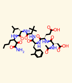 CCCCC(NC(=O)[C@H](CC(C)C)NC(=O)[C@@H](NC(=O)[C@H](Cc1ccccc1C)NC(=O)[C@H](CCC(=O)O)NC(=O)[C@H](CC(=O)O)NC(C)=O)C(C)(C)C)C(=O)C(N)=O